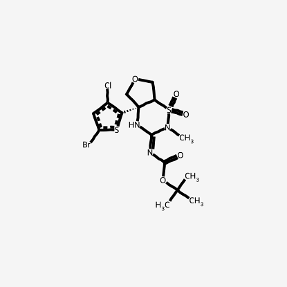 CN1/C(=N\C(=O)OC(C)(C)C)N[C@@]2(c3sc(Br)cc3Cl)COCC2S1(=O)=O